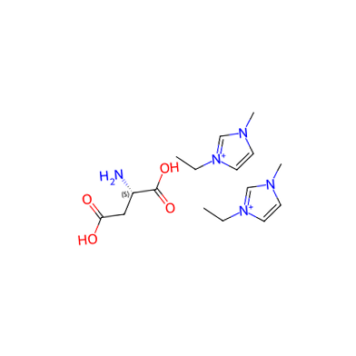 CC[n+]1ccn(C)c1.CC[n+]1ccn(C)c1.N[C@@H](CC(=O)O)C(=O)O